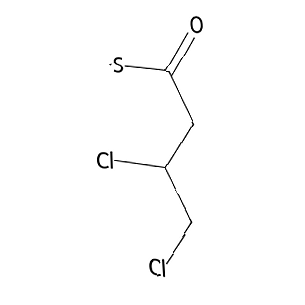 O=C([S])CC(Cl)CCl